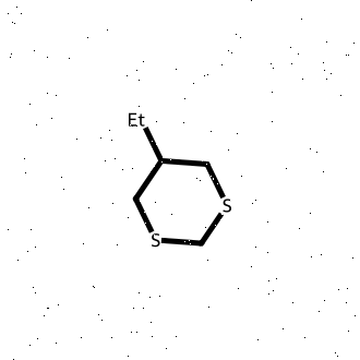 CC[C]1CSCSC1